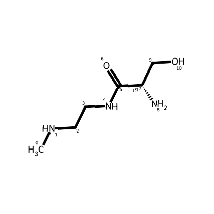 CNCCNC(=O)[C@@H](N)CO